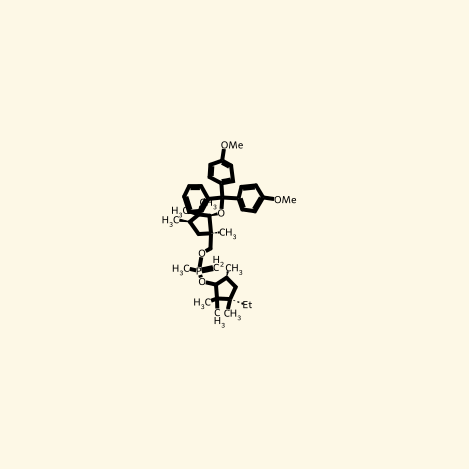 C=P(C)(OC[C@@]1(C)C[C@@H](C)C(C)(C)[C@H]1OC(c1ccccc1)(c1ccc(OC)cc1)c1ccc(OC)cc1)OC1[C@H](C)C[C@](C)(CC)C1(C)C